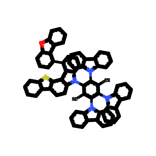 N#Cc1c(-n2c3ccccc3c3ccccc32)c(-n2c3ccccc3c3ccccc32)c(C#N)c(-n2c3cccc(-c4cccc5oc6ccccc6c45)c3c3c4sc5ccccc5c4ccc32)c1-n1c2ccccc2c2ccccc21